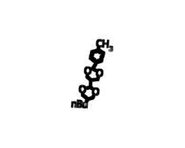 CCCCC1COC(C2COC(c3ccc(C)cc3)OC2)OC1